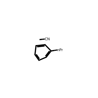 CC#N.CCCc1ccccc1